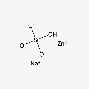 [Na+].[O-][Si]([O-])([O-])O.[Zn+2]